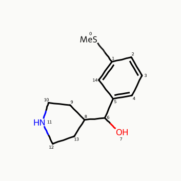 CSc1cccc(C(O)C2CCNCC2)c1